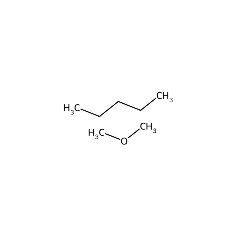 CCCCC.COC